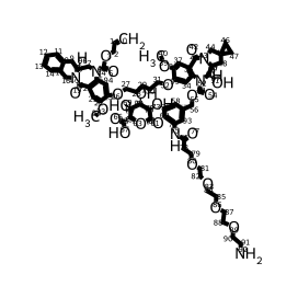 C=CCOC(=O)N1C[C@@H]2Cc3ccccc3CN2C(=O)c2cc(OC)c(OCCCCCOc3cc4c(cc3OC)C(=O)N3CC5(CC5)C[C@H]3[C@H](O)N4C(=O)OCc3ccc(O[C@@H]4O[C@H](C(=O)O)[C@@H](O)[C@H](O)[C@H]4O)c(NC(=O)CCOCCOCCOCCOCCN)c3)cc21